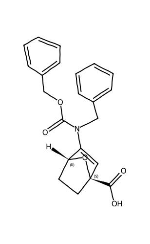 O=C(OCc1ccccc1)N(Cc1ccccc1)C1=C[C@]2(C(=O)O)CC[C@H]1O2